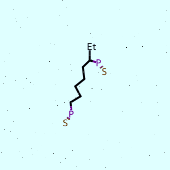 CCC(CCCCCP=S)P=S